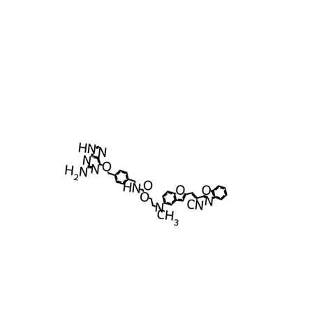 CN(CCOC(=O)NCc1ccc(COc2nc(N)nc3[nH]cnc23)cc1)c1ccc2oc(/C=C(\C#N)c3nc4ccccc4o3)cc2c1